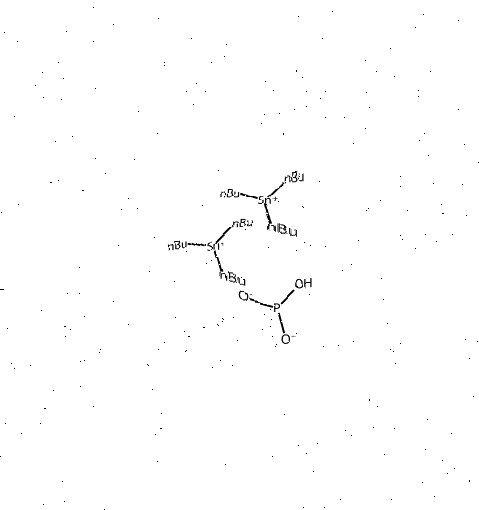 CCC[CH2][Sn+]([CH2]CCC)[CH2]CCC.CCC[CH2][Sn+]([CH2]CCC)[CH2]CCC.[O-]P([O-])O